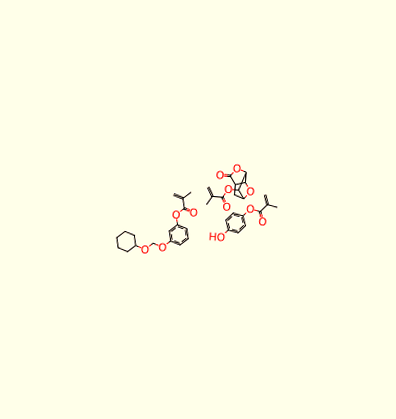 C=C(C)C(=O)OC1C2CC3C(=O)OC1C3O2.C=C(C)C(=O)Oc1ccc(O)cc1.C=C(C)C(=O)Oc1cccc(OCOC2CCCCC2)c1